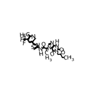 CCC(=O)Cn1c(=O)[nH]c2ncn([C@@H](C)C(=O)Nc3csc(-c4cnc(C)c(C(F)(F)F)c4)n3)c2c1=O